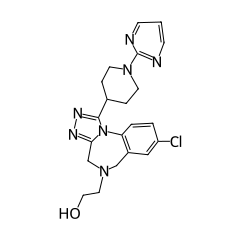 OCCN1Cc2cc(Cl)ccc2-n2c(nnc2C2CCN(c3ncccn3)CC2)C1